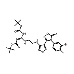 CC(C)(C)OC(=O)/N=C(\NCCNc1nonc1-c1noc(=O)n1-c1ccc(F)c(Br)c1)NC(=O)OC(C)(C)C